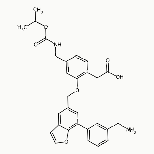 CC(C)OC(=O)NCc1ccc(CC(=O)O)c(OCc2cc(-c3cccc(CN)c3)c3occc3c2)c1